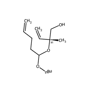 C=CCCC(OCCCC)O[C@](C)(C=C)CO